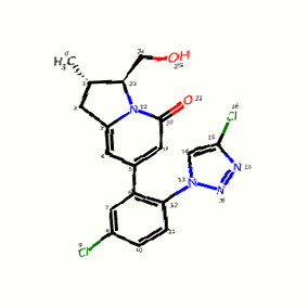 C[C@H]1Cc2cc(-c3cc(Cl)ccc3-n3cc(Cl)nn3)cc(=O)n2[C@@H]1CO